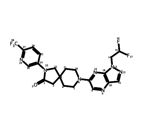 O=C1CC2(CCN(c3cnc4cnn(CC(F)F)c4n3)CC2)CN1c1ccc(C(F)(F)F)nc1